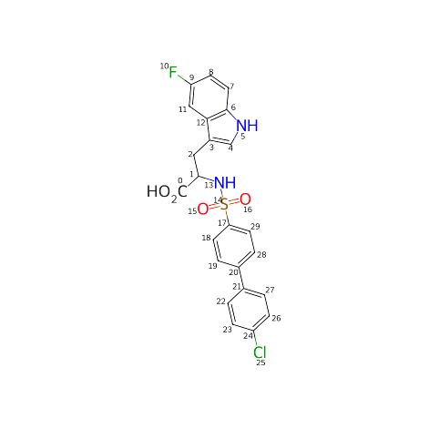 O=C(O)C(Cc1c[nH]c2ccc(F)cc12)NS(=O)(=O)c1ccc(-c2ccc(Cl)cc2)cc1